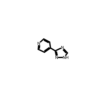 c1cc(-c2nc[nH]n2)ccn1